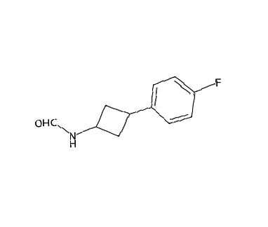 O=CNC1CC(c2ccc(F)cc2)C1